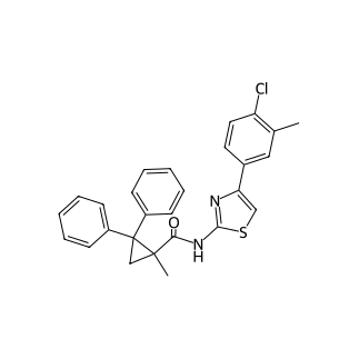 Cc1cc(-c2csc(NC(=O)C3(C)CC3(c3ccccc3)c3ccccc3)n2)ccc1Cl